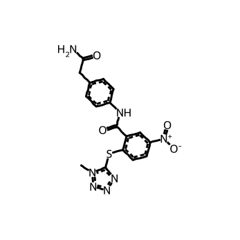 Cn1nnnc1Sc1ccc([N+](=O)[O-])cc1C(=O)Nc1ccc(CC(N)=O)cc1